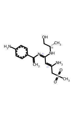 C=C(/N=C(\C=C(/N)CS(C)(=O)=O)N[C@@H](C)CO)c1ccc(N)cc1